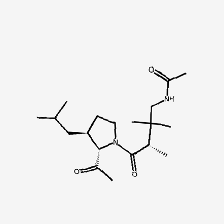 CC(=O)NCC(C)(C)[C@H](C)C(=O)N1CC[C@H](CC(C)C)[C@H]1C(C)=O